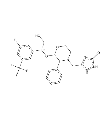 O=c1nc(CN2CCOC(O[C@@H](CO)c3cc(F)cc(C(F)(F)F)c3)C2c2ccccc2)[nH][nH]1